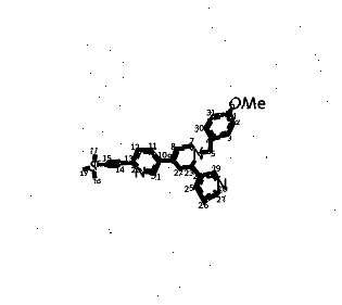 COc1ccc(CN2CC=C(c3ccc(C#CS(C)(C)C)nc3)CC2c2cccnc2)cc1